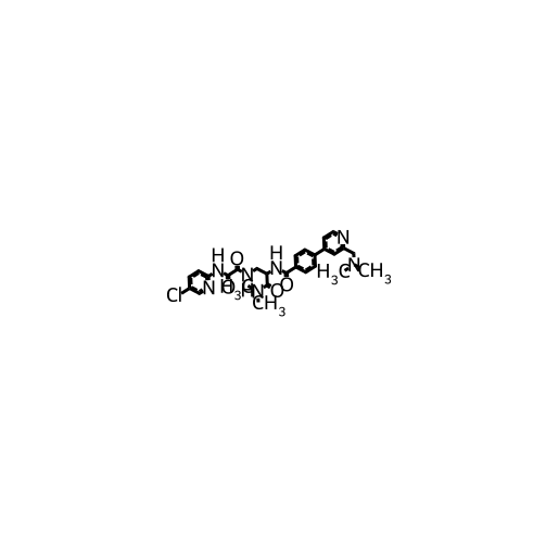 CN(C)Cc1cc(-c2ccc(C(=O)NC(CNC(=O)C(=O)Nc3ccc(Cl)cn3)C(=O)N(C)C)cc2)ccn1